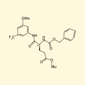 COc1cc(NC(=O)[C@H](CCC(=O)OC(C)(C)C)NC(=O)OCc2ccccc2)cc(C(F)(F)F)c1